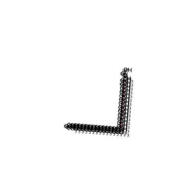 CC(=O)O.CC(=O)O.CC(=O)O.CC(=O)O.CC(=O)O.CC(=O)O.CC(=O)O.CC(=O)O.CC(=O)O.CC(=O)O.CC(=O)O.CC(=O)O.CC(=O)O.CC(=O)O.CC(=O)O.CC(=O)O.CC(=O)O.CC(=O)O.CC(=O)O.CC(=O)O.CC(=O)O.CC(=O)O.CC(=O)O.CC(=O)O.CC(=O)O.CC(=O)O.CC(=O)O.CC(=O)O.CC(=O)O.CCOC(=O)CCO